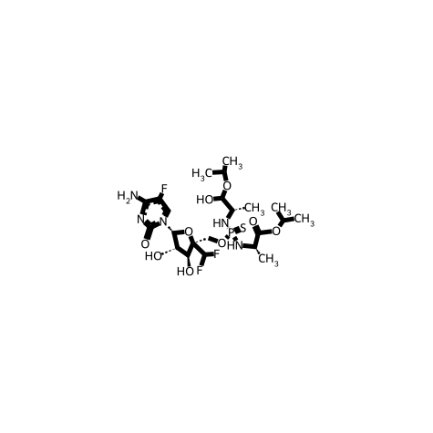 CC(C)OC(=O)[C@H](C)NP(=S)(N[C@@H](C)C(O)OC(C)C)OC[C@@]1(C(F)F)O[C@@H](n2cc(F)c(N)nc2=O)[C@@H](O)[C@@H]1O